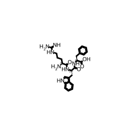 N=C(N)NCCC[C@H](N)C(=O)N[C@@H](Cc1c[nH]c2ccccc12)C(=O)N[C@@H](Cc1ccccc1)C(=O)O